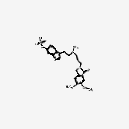 COc1cc2c(cc1OC)C(=O)N(CCCN(C)CCc1csc3cc(OS(C)(=O)=O)ccc13)C2